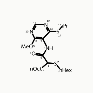 CCCCCCCCC(SCCCCCC)C(=O)Nc1c(OC)ncnc1SC(C)C